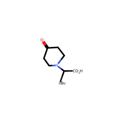 CCCCC(C(=O)O)N1CCC(=O)CC1